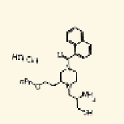 CCCOCC[C@H]1CN(C(=O)c2cccc3ccccc23)CCN1C[C@@H](N)CS.Cl.Cl